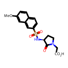 COc1ccc2ccc(S(=O)(=O)N[C@H]3CCN(CC(=O)O)C3=O)cc2c1